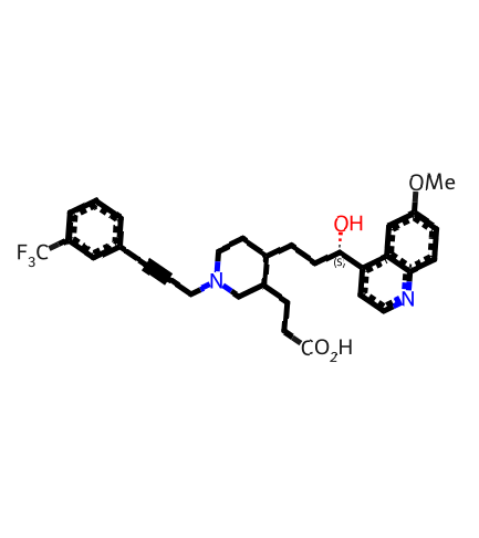 COc1ccc2nccc([C@@H](O)CCC3CCN(CC#Cc4cccc(C(F)(F)F)c4)CC3CCC(=O)O)c2c1